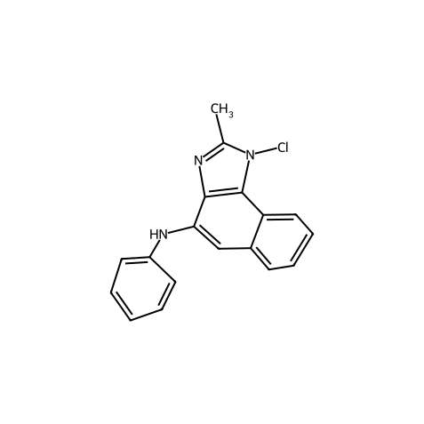 Cc1nc2c(Nc3ccccc3)cc3ccccc3c2n1Cl